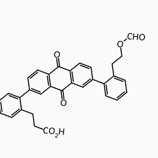 O=COCCc1ccccc1-c1ccc2c(c1)C(=O)c1cc(-c3ccccc3CCC(=O)O)ccc1C2=O